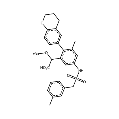 Cc1cccc(CS(=O)(=O)Nc2cc(C)c(-c3ccc4c(c3)CCCO4)c(C(OC(C)(C)C)C(=O)O)c2)c1